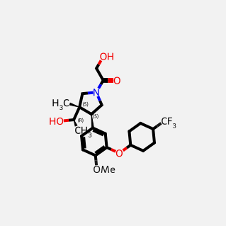 COc1ccc([C@@H]2CN(C(=O)CO)C[C@@]2(C)[C@@H](C)O)cc1OC1CCC(C(F)(F)F)CC1